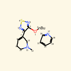 CCCCOc1nsnc1C1=CCCN(C)C1.c1ccncc1